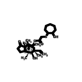 C=C[C@]1(C)C[C@@H](OC(=O)CSC2CCCCCC2O)[C@]2(C)C(C)CC[C@]3(CCC(=O)[C@H]32)[C@@H](C)[C@@H]1O